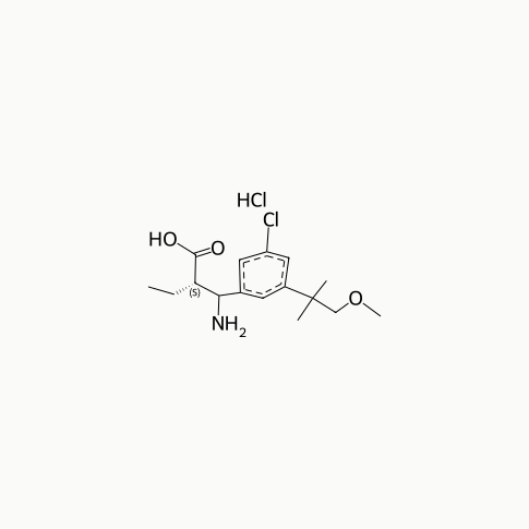 CC[C@H](C(=O)O)C(N)c1cc(Cl)cc(C(C)(C)COC)c1.Cl